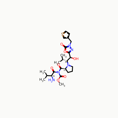 COC(=O)N(C(=O)[C@@H](N)C(C)C)C(=O)[C@@H]1CCCN1[C@H](C(C)C)C(O)c1nn(Cc2ccsc2)c(=O)o1